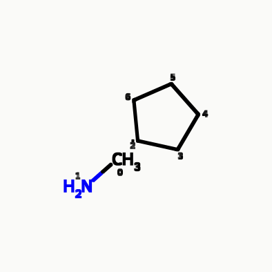 CN.[CH]1CCCC1